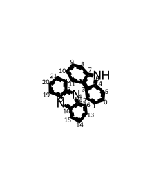 c1ccc2c(c1)[nH]c1ccccc12.c1ccc2nc3ccccc3nc2c1